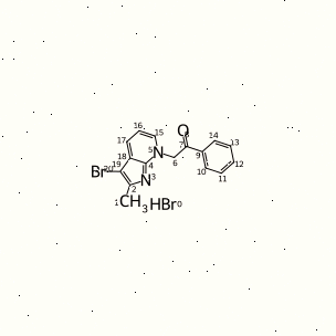 Br.Cc1nc2n(CC(=O)c3ccccc3)cccc-2c1Br